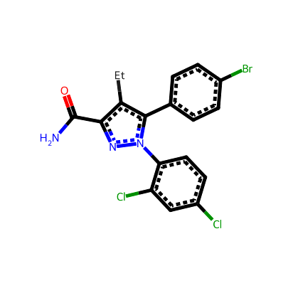 CCc1c(C(N)=O)nn(-c2ccc(Cl)cc2Cl)c1-c1ccc(Br)cc1